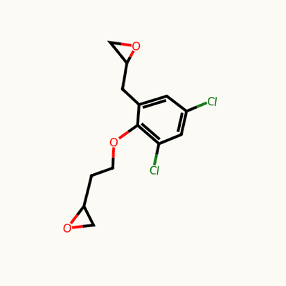 Clc1cc(Cl)c(OCCC2CO2)c(CC2CO2)c1